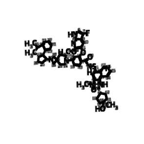 COc1nc2[nH]cc(F)c2cc1Oc1cc(N2CCC3(CC2)CN([C@H]2CCC[C@H]2c2ccccc2C(C)C)C3)ccc1C(=O)NSc1cc([NH+](C)[O-])c(NC[C@H]2CC[C@](C)(O)CC2)c2ccncc12